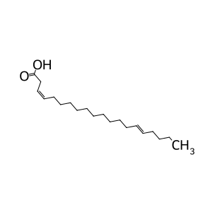 CCCCC=CCCCCCCCCCC/C=C\CC(=O)O